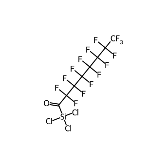 O=C(C(F)(F)C(F)(F)C(F)(F)C(F)(F)C(F)(F)C(F)(F)C(F)(F)F)[Si](Cl)(Cl)Cl